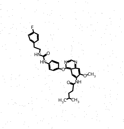 COc1cc2ncnc(Oc3ccc(NC(=O)NCCc4ccc(F)cc4)cc3)c2cc1NC(=O)CCC(C)C